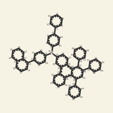 c1ccc(-c2ccc(N(c3ccc(-c4cccc5ccccc45)cc3)c3ccc4c(c3)c3ccccc3c3c(-c5ccccc5)cc(-c5ccccc5)c(-c5ccccc5)c43)cc2)cc1